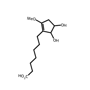 COC1=C(CCCCCCC(=O)O)C(O)C(O)C1